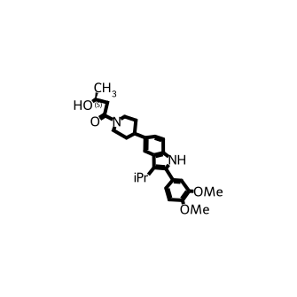 COc1ccc(-c2[nH]c3ccc(C4CCN(C(=O)C[C@H](C)O)CC4)cc3c2C(C)C)cc1OC